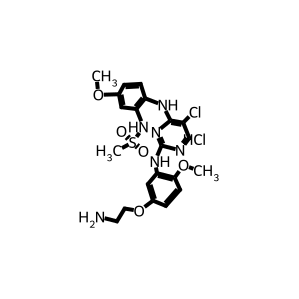 COc1ccc(Nc2nc(Nc3cc(OCCN)ccc3OC)ncc2Cl)c(NS(C)(=O)=O)c1.Cl